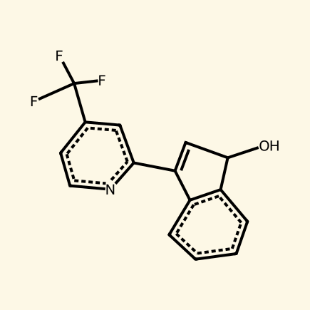 OC1C=C(c2cc(C(F)(F)F)ccn2)c2ccccc21